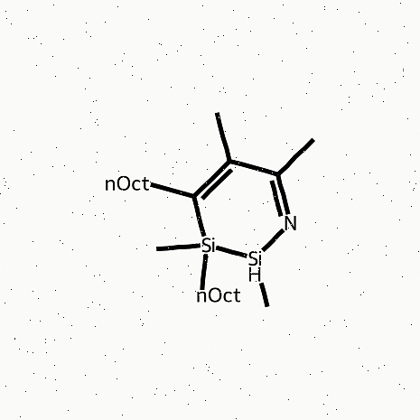 CCCCCCCCC1=C(C)C(C)=N[SiH](C)[Si]1(C)CCCCCCCC